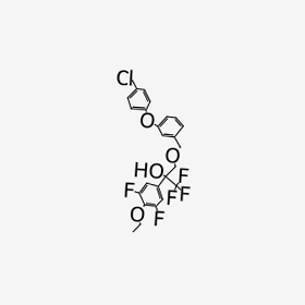 CCOc1c(F)cc(C(O)(COCc2cccc(Oc3ccc(Cl)cc3)c2)C(F)(F)F)cc1F